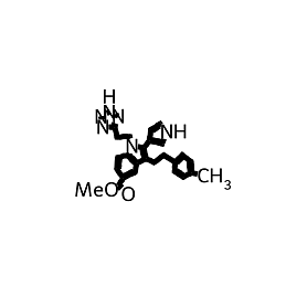 COC(=O)c1ccc2c(c1)c(CCc1ccc(C)cc1)c(-c1cc[nH]c1)n2CCc1nn[nH]n1